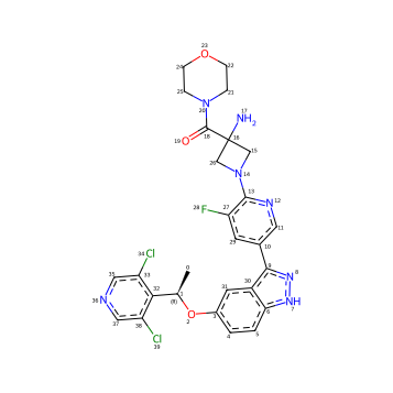 C[C@@H](Oc1ccc2[nH]nc(-c3cnc(N4CC(N)(C(=O)N5CCOCC5)C4)c(F)c3)c2c1)c1c(Cl)cncc1Cl